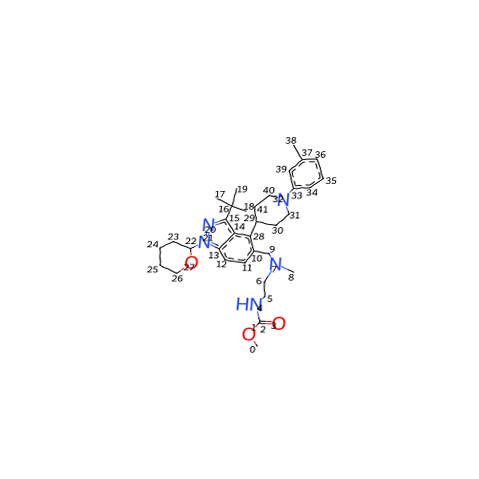 COC(=O)NCCN(C)Cc1ccc2c(c(C(C)(C)C)nn2C2CCCCO2)c1C1CCN(c2cccc(C)c2)CC1